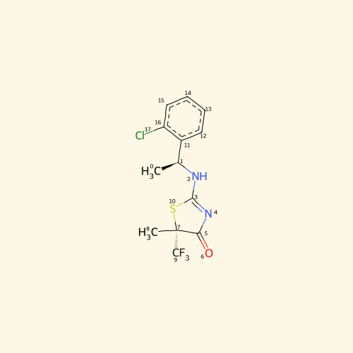 C[C@H](NC1=NC(=O)[C@](C)(C(F)(F)F)S1)c1ccccc1Cl